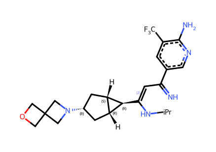 CC(C)N/C(=C\C(=N)c1cnc(N)c(C(F)(F)F)c1)[C@H]1[C@@H]2C[C@H](N3CC4(COC4)C3)C[C@@H]21